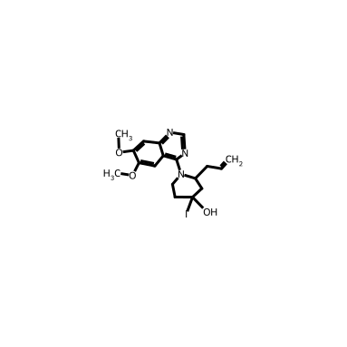 C=CCC1CC(O)(I)CCN1c1ncnc2cc(OC)c(OC)cc12